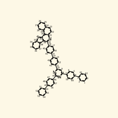 c1ccc(-c2ccc(-c3cc(-c4ccc(-c5ccc(-c6nc7ccc8ccccc8c7c7sc8ccccc8c67)cc5)cc4)nc(-c4ccc(-c5ccccc5)cc4)n3)cc2)cc1